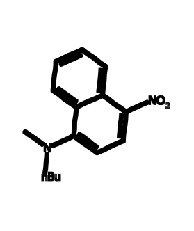 CCCCN(C)c1ccc([N+](=O)[O-])c2ccccc12